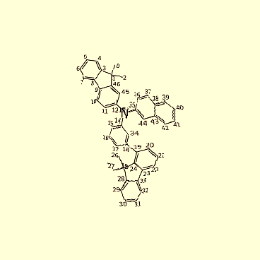 CC1(C)c2ccccc2-c2ccc(N(c3cccc(-c4cccc5c4C(C)(C)c4ccccc4-5)c3)c3ccc4ccccc4c3)cc21